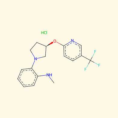 CNc1ccccc1N1CC[C@@H](Oc2ccc(C(F)(F)F)cn2)C1.Cl